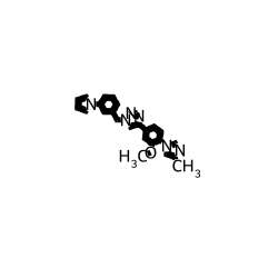 COc1cc(-c2cn(Cc3cccc(-n4cccc4)c3)nn2)ccc1-n1cnc(C)c1